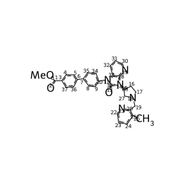 COC(=O)c1ccc(-c2ccc(-n3c(=O)n([C@H]4CCN(Cc5ncccc5C)C4)c4ncccc43)cc2)cc1